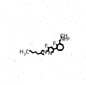 CCCCCC1CN(c2ncc(C3=C(F)C(CNC)=CCC=C3)cc2F)C1